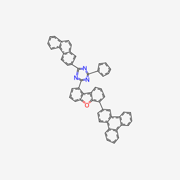 c1ccc(-c2nc(-c3ccc4c(ccc5ccccc54)c3)nc(-c3cccc4oc5c(-c6ccc7c8ccccc8c8ccccc8c7c6)cccc5c34)n2)cc1